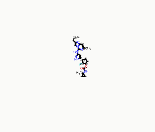 COCc1cn2c(Nc3cc([C@H]4CC[C@@H](OC(=O)NC5(C)CC5)[C@H]4F)[nH]n3)nc(C)cc2n1